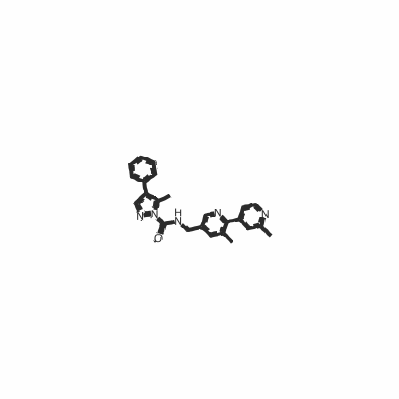 Cc1cc(-c2ncc(CNC(=O)n3ncc(-c4ccccc4)c3C)cc2C)ccn1